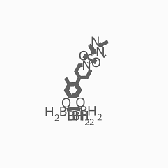 BC1(B)Oc2cc(C)c(C3CCN(S(=O)(=O)c4cnc(C)n4C)CC3)cc2OC1(B)B